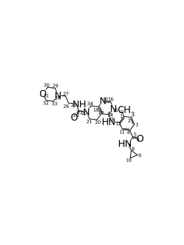 Cc1ccc(C(=O)NC2CC2)cc1Nc1ncnc2c1CCN(C(=O)NCCN1CCOCC1)C2